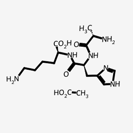 CC(=O)O.C[C@H](N)C(=O)N[C@@H](Cc1c[nH]cn1)C(=O)N[C@@H](CCCCN)C(=O)O